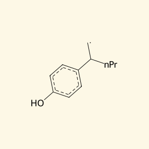 [CH2]C(CCC)c1ccc(O)cc1